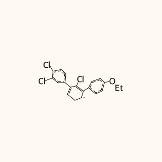 CCOc1ccc(C2=C(Cl)C(c3ccc(Cl)c(Cl)c3)=CC[CH]2)cc1